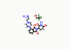 NCCN1CCN(c2cccc3c2C(=O)N(C2CCC(=O)NC2=O)C3=O)CC1.O=CC(F)(F)F